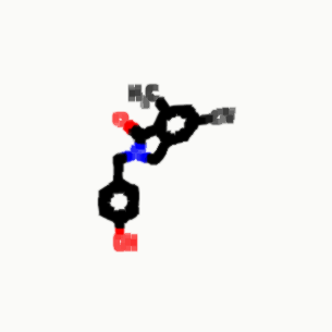 Cc1cc(C#N)cc2c1C(=O)N(Cc1ccc(O)cc1)C2